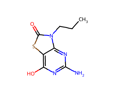 CCCn1c(=O)sc2c(O)nc(N)nc21